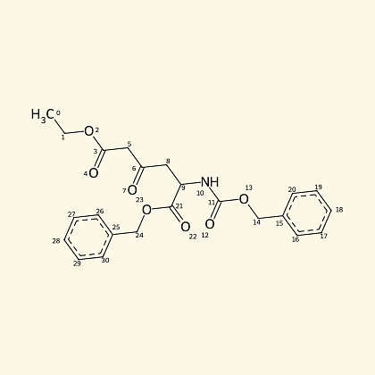 CCOC(=O)CC(=O)CC(NC(=O)OCc1ccccc1)C(=O)OCc1ccccc1